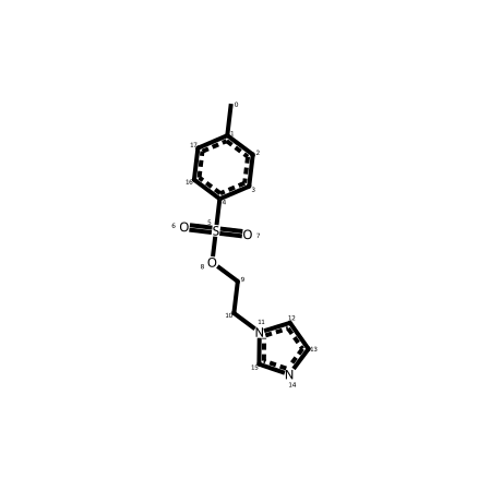 Cc1ccc(S(=O)(=O)OCCn2ccnc2)cc1